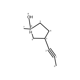 CC#CC1CC[PH](C)(O)C1